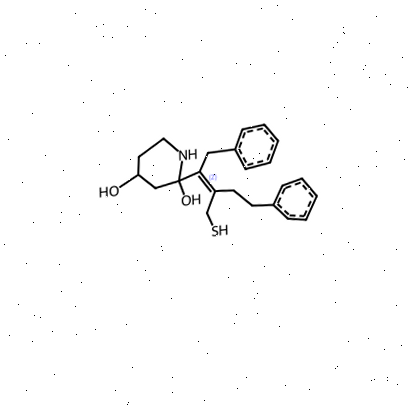 OC1CCNC(O)(/C(Cc2ccccc2)=C(\CS)CCc2ccccc2)C1